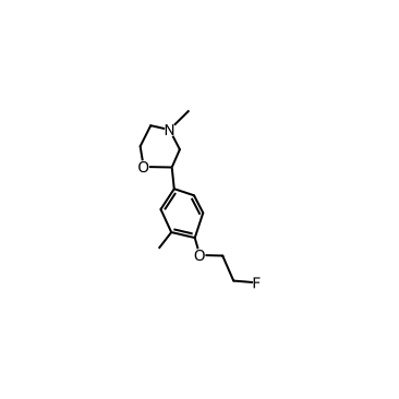 Cc1cc(C2CN(C)CCO2)ccc1OCCF